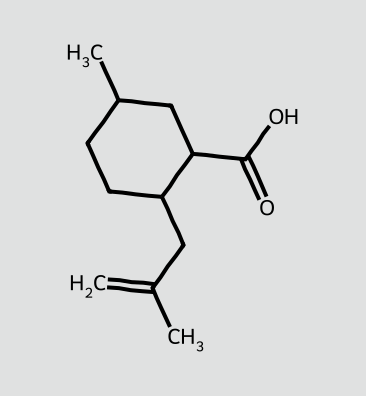 C=C(C)CC1CCC(C)CC1C(=O)O